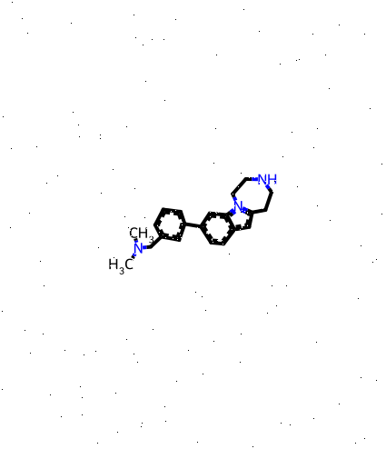 CN(C)Cc1cccc(-c2ccc3cc4n(c3c2)CCNCC4)c1